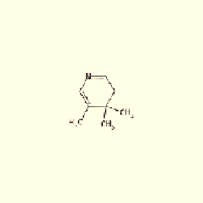 CC1=CN=CCC1(C)C